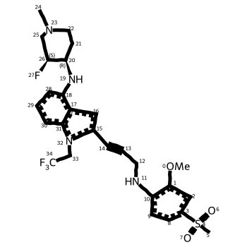 COc1cc(S(C)(=O)=O)ccc1NCC#Cc1cc2c(N[C@@H]3CCN(C)C[C@@H]3F)cccc2n1CC(F)(F)F